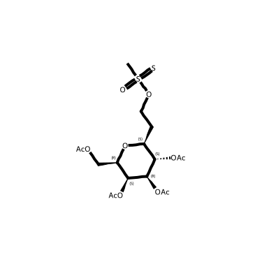 CC(=O)OC[C@H]1O[C@@H](CCOS(C)(=O)=S)[C@H](OC(C)=O)[C@@H](OC(C)=O)[C@H]1OC(C)=O